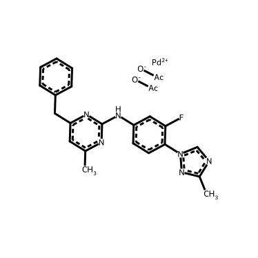 CC(=O)[O-].CC(=O)[O-].Cc1cc(Cc2ccccc2)nc(Nc2ccc(-n3cnc(C)n3)c(F)c2)n1.[Pd+2]